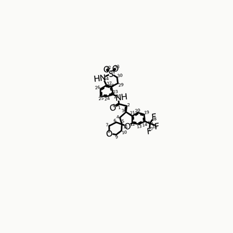 O=C(C=C1CC2(CCOCC2)Oc2cc(C(F)(F)F)ccc21)Nc1cccc2c1CCS(=O)(=O)N2